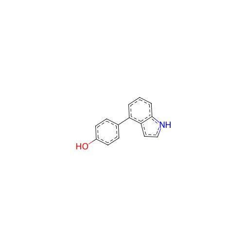 Oc1ccc(-c2cccc3[nH]ccc23)cc1